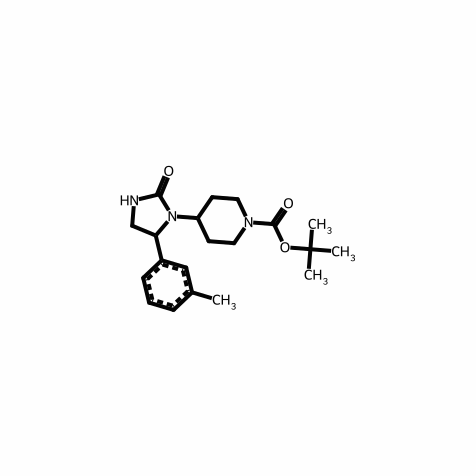 Cc1cccc(C2CNC(=O)N2C2CCN(C(=O)OC(C)(C)C)CC2)c1